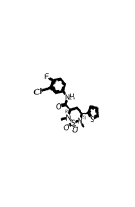 CN1[C@@H](C(=O)Nc2ccc(F)c(Cl)c2)C[C@@H](c2cccs2)N(C)S1(=O)=O